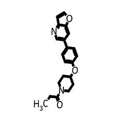 CCC(=O)N1CCC(Oc2ccc(-c3cnc4ccoc4c3)cc2)CC1